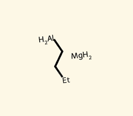 CCC[CH2][AlH2].[MgH2]